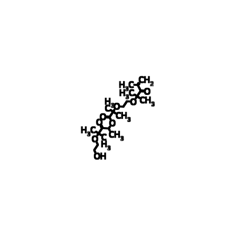 C=C(C)C(=O)C(C)(C)OCCOC(C)(C)C(=O)OC(C)C(=O)C(C)(C)OCCO